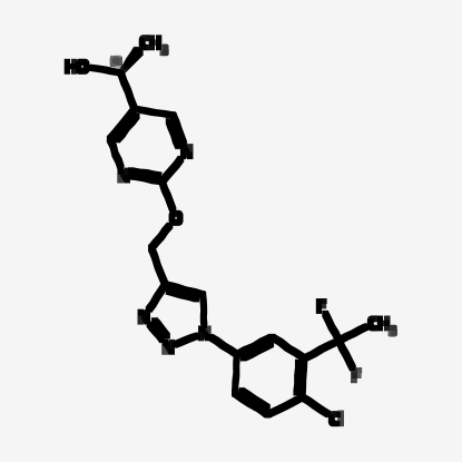 C[C@H](O)c1cnc(OCc2cn(-c3ccc(Cl)c(C(C)(F)F)c3)nn2)nc1